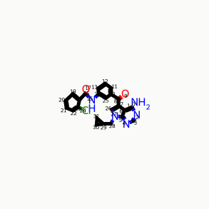 Nc1ncnc2c1c(C(=O)c1cccc(NC(=O)c3ccccc3Cl)c1)cn2CC1CC1